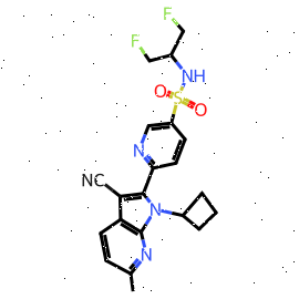 Cc1ccc2c(C#N)c(-c3ccc(S(=O)(=O)NC(CF)CF)cn3)n(C3CCC3)c2n1